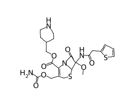 COC1(NC(=O)Cc2cccs2)C(=O)N2C(C(=O)OCC3CCNCC3)=C(COC(N)=O)CSC21